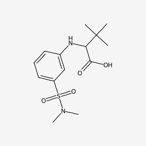 CN(C)S(=O)(=O)c1cccc(NC(C(=O)O)C(C)(C)C)c1